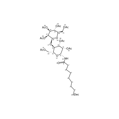 CCCCCCCCCCCCCCCCCC(=O)N[C@@H]1O[C@H](COC(C)=O)[C@@H](O[C@@H]2O[C@H](COC(C)=O)[C@@H](OC(C)=O)[C@H](OC(C)=O)[C@@H]2OC(C)=O)[C@H](OC(C)=O)[C@@H]1OC(C)=O